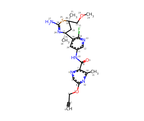 C#CCOc1cnc(C(=O)Nc2cnc(F)c([C@]3(C)C[C@](C)(COC)SC(N)=N3)c2)c(C)n1